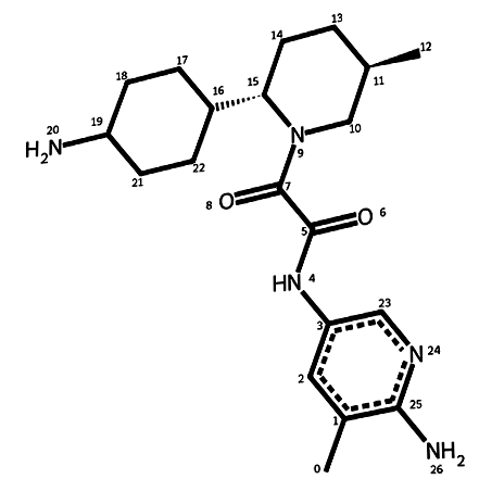 Cc1cc(NC(=O)C(=O)N2C[C@H](C)CC[C@H]2C2CCC(N)CC2)cnc1N